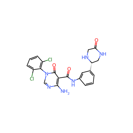 Nc1ncn(-c2c(Cl)cccc2Cl)c(=O)c1C(=O)Nc1cccc([C@H]2CNC(=O)CN2)c1